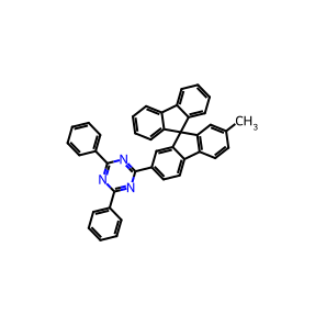 Cc1ccc2c(c1)C1(c3ccccc3-c3ccccc31)c1cc(-c3nc(-c4ccccc4)nc(-c4ccccc4)n3)ccc1-2